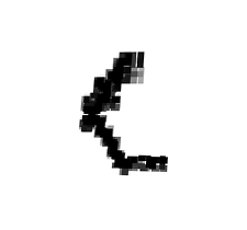 CCCCCCCC/C=C\CCCCCCCC(=O)C(CCCCCCCCCCC)CCCC(=S)OCC(O)CO